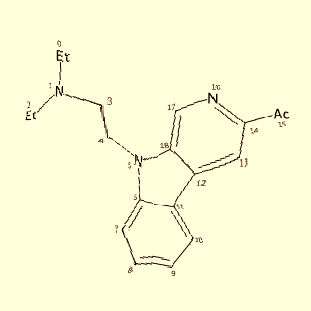 CCN(CC)CCn1c2ccccc2c2cc(C(C)=O)ncc21